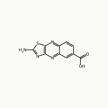 Nc1nc2nc3cc(C(=O)O)ccc3nc2s1